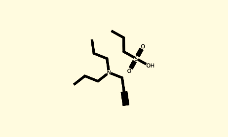 C#CCN(CCC)CCC.CCCS(=O)(=O)O